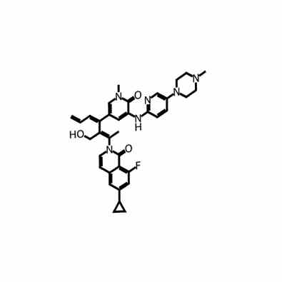 C=C/C=C(\C(CO)=C(/C)n1ccc2cc(C3CC3)cc(F)c2c1=O)c1cc(Nc2ccc(N3CCN(C)CC3)cn2)c(=O)n(C)c1